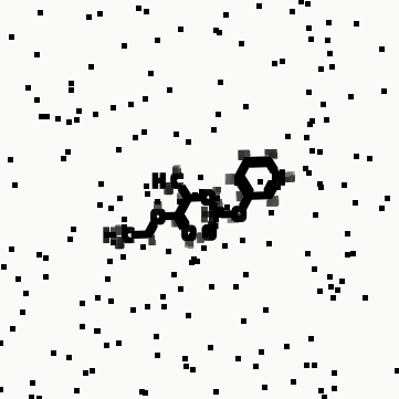 CCOC(=O)C(C)O[PH](=O)Oc1cccnc1